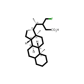 C[C@H](C(CF)CC(=O)O)[C@H]1CC[C@H]2[C@@H]3CCC4CCCC[C@]4(C)[C@H]3CC[C@]12C